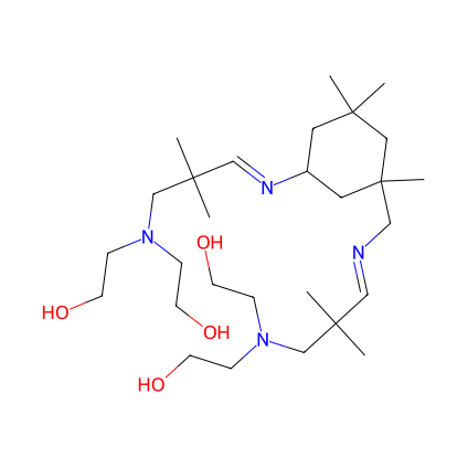 CC(C)(C=NCC1(C)CC(N=CC(C)(C)CN(CCO)CCO)CC(C)(C)C1)CN(CCO)CCO